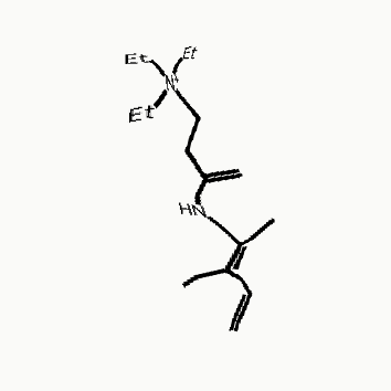 C=C/C(C)=C(\C)NC(=C)CC[N+](CC)(CC)CC